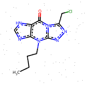 CCCCn1c2nc[nH]c2c(=O)n2c(CCl)nnc12